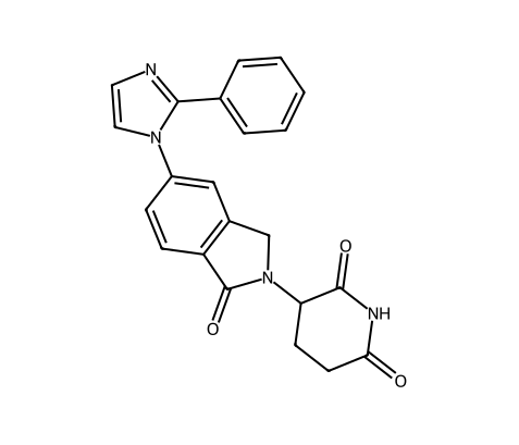 O=C1CCC(N2Cc3cc(-n4ccnc4-c4ccccc4)ccc3C2=O)C(=O)N1